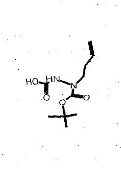 C=CCCN(NC(=O)O)C(=O)OC(C)(C)C